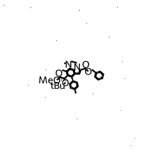 COC(=O)[C@@H](OC(C)(C)C)c1c(C)c2c3c(cc(C(=O)OCc4ccccc4)n3CCN2C)c1-c1ccc(C)cc1